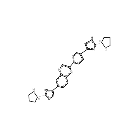 c1cc(-c2cnc3cc(-c4cnc([C@@H]5CCCN5)[nH]4)ccc3n2)ncc1-c1c[nH]c([C@@H]2CCCN2)n1